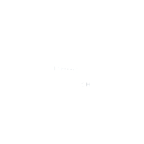 [C]F.[SiH3]O[SiH3]